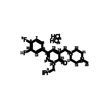 CC(C)Cn1nc(-c2ccc(F)c(F)c2)cc(CN2CCN(C)CC2)c1=O.Cl.Cl